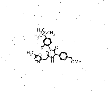 COCc1ccc(C(NC(=O)Cc2nnc(C)o2)C(=O)Nc2ccc([Si](C)(C)C)cc2F)cc1